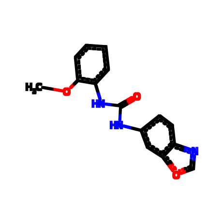 COc1ccccc1NC(=O)Nc1ccc2ncoc2c1